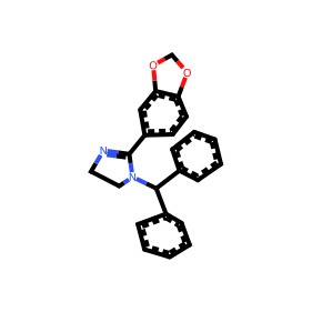 c1ccc(C(c2ccccc2)N2CCN=C2c2ccc3c(c2)OCO3)cc1